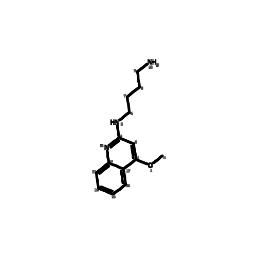 COc1cc(NCCCCN)nc2ccccc12